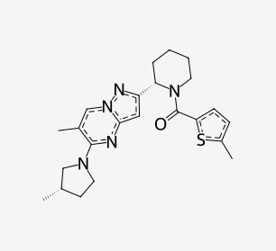 Cc1ccc(C(=O)N2CCCC[C@H]2c2cc3nc(N4CC[C@H](C)C4)c(C)cn3n2)s1